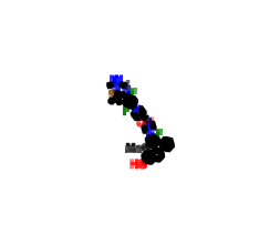 COc1cc(N2CCN(CC3(O)CCN(c4cc(F)c(C5=N[C@@H](C)c6nnc(C)n6-c6sc(C)c(C)c65)cc4F)CC3)CC2)c(F)cc1[C@H]1c2ccc(O)cc2CC[C@H]1c1ccccc1